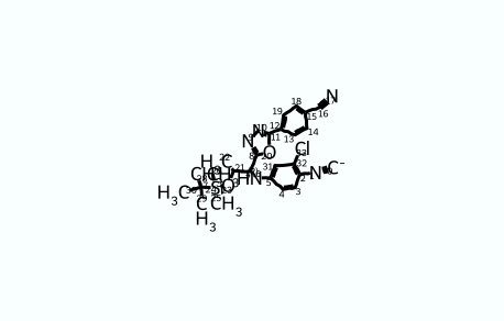 [C-]#[N+]c1ccc(N[C@@H](c2nnc(-c3ccc(C#N)cc3)o2)C(C)O[Si](C)(C)C(C)(C)C)cc1Cl